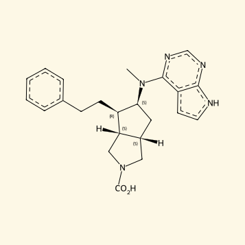 CN(c1ncnc2[nH]ccc12)[C@H]1C[C@@H]2CN(C(=O)O)C[C@@H]2[C@H]1CCc1ccccc1